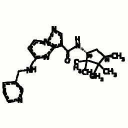 C[C@@H]1C[C@@H](NC(=O)c2cnn3ccc(NCc4cccnc4)nc23)C(C)(C)C1(C)C